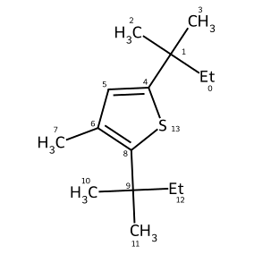 CCC(C)(C)c1cc(C)c(C(C)(C)CC)s1